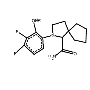 COc1c(N2CCC3(CCCC3)C2C(N)=O)ccc(F)c1F